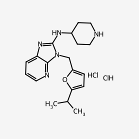 CC(C)c1ccc(Cn2c(NC3CCNCC3)nc3cccnc32)o1.Cl.Cl